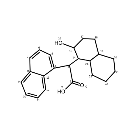 O=C(O)C(c1cccc2ccccc12)C1C(O)CCC2CCCCC21